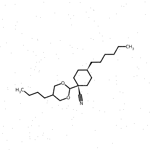 CCCCCC[C@H]1CC[C@](C#N)(C2OCC(CCCC)CO2)CC1